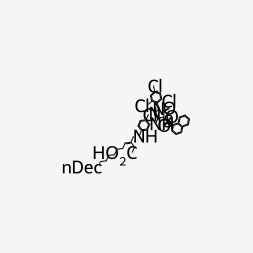 CCCCCCCCCCCCCCCCC=C(CNc1ccc(Cl)c(NC2=NN(c3c(Cl)cc(Cl)cc3Cl)C(=O)C2S(=O)(=O)c2cccc3ccccc23)c1)CC(=O)O